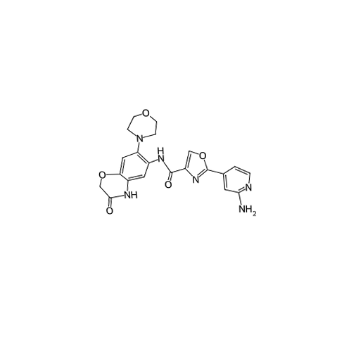 Nc1cc(-c2nc(C(=O)Nc3cc4c(cc3N3CCOCC3)OCC(=O)N4)co2)ccn1